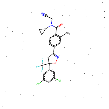 Cc1cc(C2=NOC(c3cc(Cl)cc(Cl)c3)(C(F)(F)F)C2)ccc1C(=O)N(CC#N)C1CC1